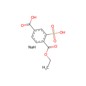 CCOC(=O)c1ccc(C(=O)O)cc1S(=O)(=O)O.[NaH]